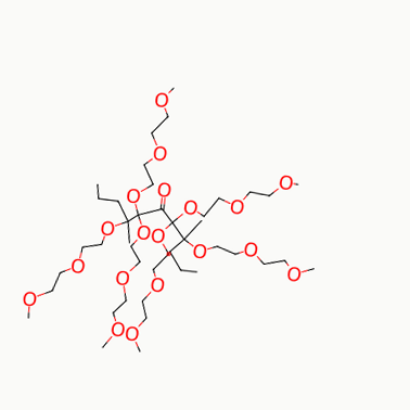 CCCC(C)(OCCOCCOC)C(OCCOCCOC)(OCCOCCOC)C(=O)C(OCCOCCOC)(OCCOCCOC)C(C)(CCC)OCCOCCOC